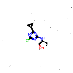 CC[C@@H](CO)Nc1nc(Cl)nc(C2CC2)n1